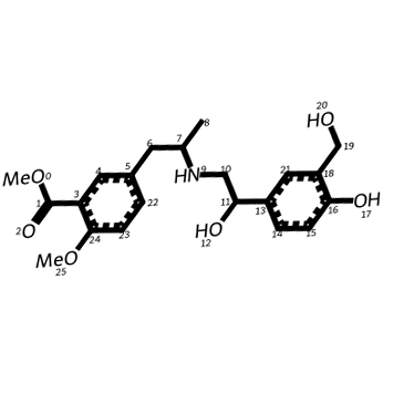 COC(=O)c1cc(CC(C)NCC(O)c2ccc(O)c(CO)c2)ccc1OC